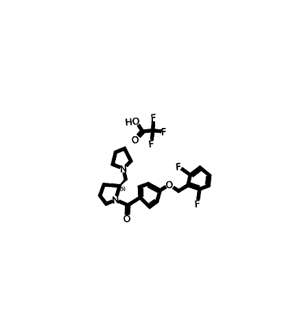 O=C(O)C(F)(F)F.O=C(c1ccc(OCc2c(F)cccc2F)cc1)N1CCC[C@H]1CN1CCCC1